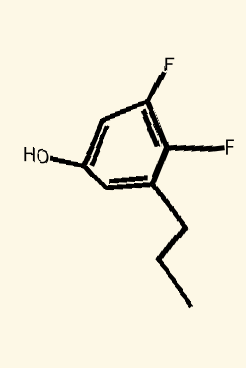 CCCc1cc(O)cc(F)c1F